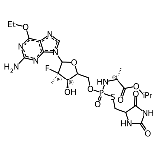 CCOc1nc(N)nc2c1ncn2C1OC(COP(=O)(N[C@H](C)C(=O)OC(C)C)SCC2NC(=O)NC2=O)[C@@H](O)[C@@]1(C)F